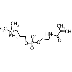 C=C(C)C(=O)NCCOP(=O)([O-])OCCC[N+](C)(C)C